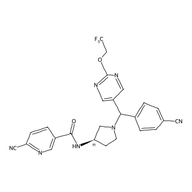 N#Cc1ccc(C(c2cnc(OCC(F)(F)F)nc2)N2CC[C@@H](NC(=O)c3ccc(C#N)nc3)C2)cc1